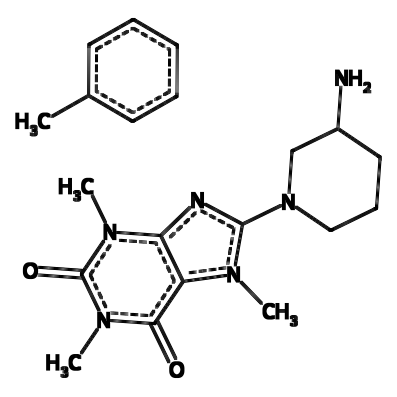 Cc1ccccc1.Cn1c(=O)c2c(nc(N3CCCC(N)C3)n2C)n(C)c1=O